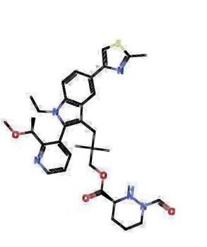 CCn1c(-c2cccnc2[C@H](C)OC)c(CC(C)(C)COC(=O)[C@@H]2CCCN(C=O)N2)c2cc(-c3csc(C)n3)ccc21